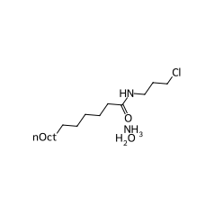 CCCCCCCCCCCCCC(=O)NCCCCl.N.O